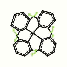 Fc1cccc(F)[c]1[Al-]([c]1c(F)cccc1F)([c]1c(F)cccc1F)[c]1c(F)cccc1F